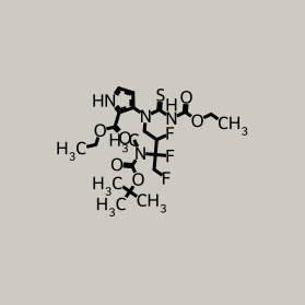 CCOC(=O)NC(=S)N(CC(F)C(F)(CF)N(C)C(=O)OC(C)(C)C)c1cc[nH]c1C(=O)OCC